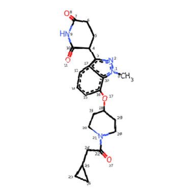 Cn1nc(C2CCC(=O)NC2=O)c2cccc(OC3CCN(C(=O)CC4CC4)CC3)c21